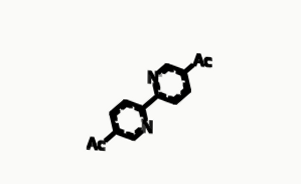 CC(=O)c1ccc(-c2ccc(C(C)=O)cn2)nc1